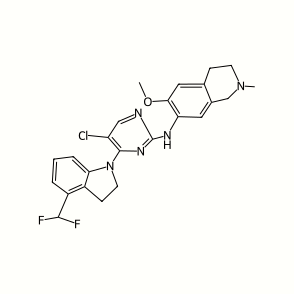 COc1cc2c(cc1Nc1ncc(Cl)c(N3CCc4c(C(F)F)cccc43)n1)CN(C)CC2